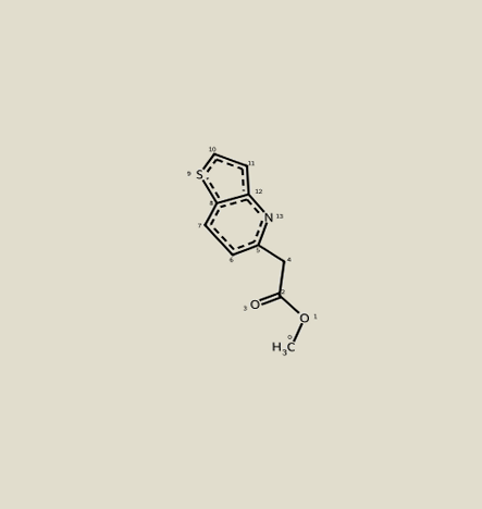 COC(=O)Cc1ccc2sccc2n1